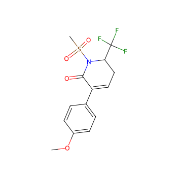 COc1ccc(C2=CCC(C(F)(F)F)N(S(C)(=O)=O)C2=O)cc1